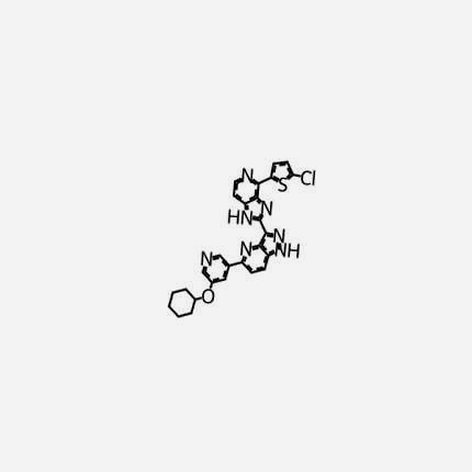 Clc1ccc(-c2nccc3[nH]c(-c4n[nH]c5ccc(-c6cncc(OC7CCCCC7)c6)nc45)nc23)s1